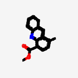 COC(=O)c1ccc(C)c2cc3ccccc3nc12